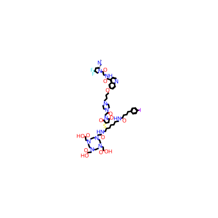 C/N=C/[C@H]1CC(F)(F)CN1C(=O)CNC(=O)c1ccnc2ccc(OCCCCN3CCN(C(=O)CN4C(=O)CC(SC(CCCCCNC(=O)CCCc5ccc(I)cc5)CNC(=O)CN5CCN(CC(=O)O)CCN(CC(=O)O)CCN(CC(=O)O)CC5)C4=O)CC3)cc12